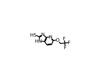 FC(F)(F)COc1ccc2[nH]c(S)nc2n1